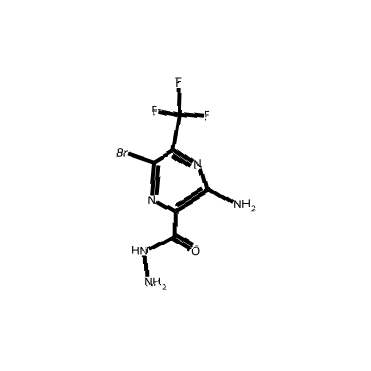 NNC(=O)c1nc(Br)c(C(F)(F)F)nc1N